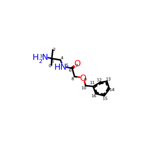 CC(C)(N)CNC(=O)COCc1ccccc1